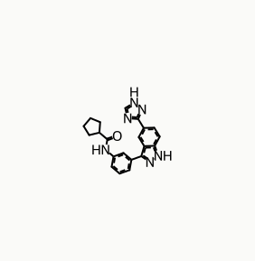 O=C(Nc1cccc(-c2n[nH]c3ccc(-c4nc[nH]n4)cc23)c1)C1CCCC1